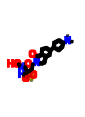 CN(C)c1ccc(-c2ccc3c(=O)n(CCC(C)(C(=O)NO)S(C)(=O)=O)ccc3c2)cc1